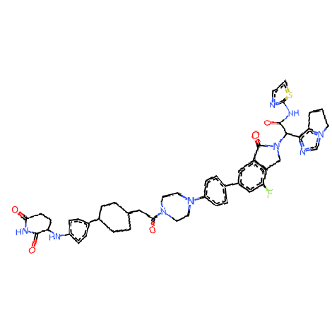 O=C1CCC(Nc2ccc(C3CCC(CC(=O)N4CCN(c5ccc(-c6cc(F)c7c(c6)C(=O)N(C(C(=O)Nc6nccs6)c6ncn8c6CCC8)C7)cc5)CC4)CC3)cc2)C(=O)N1